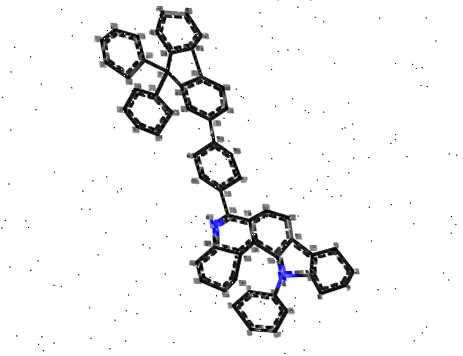 c1ccc(-n2c3ccccc3c3ccc4c(-c5ccc(-c6ccc7c(c6)C(c6ccccc6)(c6ccccc6)c6ccccc6-7)cc5)nc5ccccc5c4c32)cc1